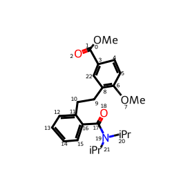 COC(=O)c1ccc(OC)c(CCc2ccccc2C(=O)N(C(C)C)C(C)C)c1